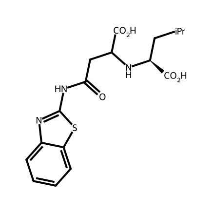 CC(C)C[C@H](NC(CC(=O)Nc1nc2ccccc2s1)C(=O)O)C(=O)O